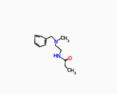 CCC(=O)NCCN(C)Cc1ccccc1